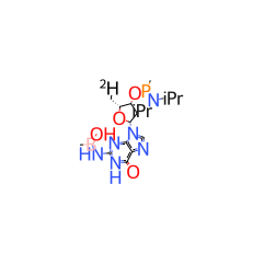 [2H]C[C@H]1O[C@@H](n2cnc3c(=O)[nH]c(NB(C)O)nc32)C[C@H]1OP(C)N(C(C)C)C(C)C